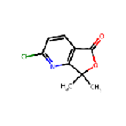 CC1(C)OC(=O)c2ccc(Cl)nc21